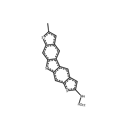 CCCCCCCCNc1cc2cc3c(cc2s1)sc1cc2sc(C)cc2cc13